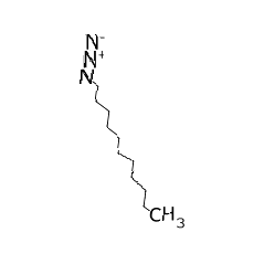 CCCCCCCCCCCN=[N+]=[N-]